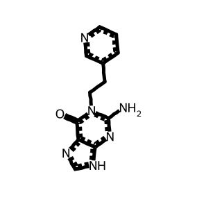 Nc1nc2[nH]cnc2c(=O)n1CCc1cccnc1